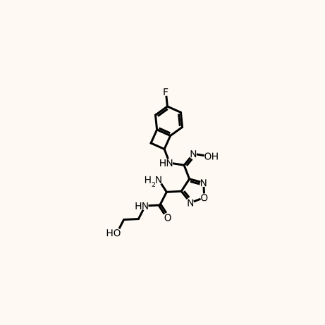 NC(C(=O)NCCO)c1nonc1/C(=N\O)NC1Cc2cc(F)ccc21